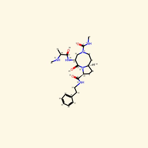 CNC(=O)N1CC[C@H]2CC[C@@H](C(=O)NCCc3ccccc3)N2C(=O)[C@@H](NC(=O)C(C)NC)C1